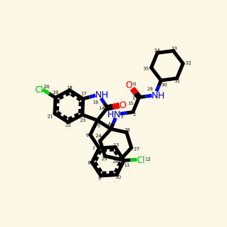 O=C(CNC1(C2(Cc3cccc(Cl)c3)C(=O)Nc3cc(Cl)ccc32)CCCCC1)NC1CCCCC1